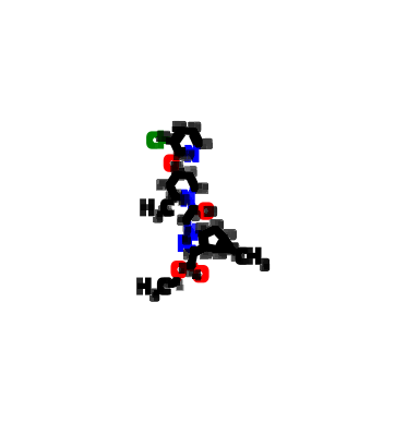 CCOC(=O)c1nn(CC(=O)N2CC[C@H](Oc3ncccc3Cl)C[C@@H]2C)c2c1C1C(C2)[C@H]1C